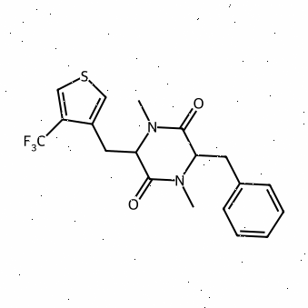 CN1C(=O)C(Cc2cscc2C(F)(F)F)N(C)C(=O)C1Cc1ccccc1